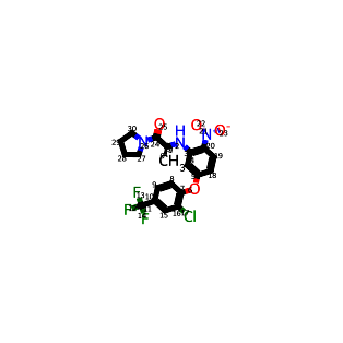 C[C@H](Nc1cc(Oc2ccc(C(F)(F)F)cc2Cl)ccc1[N+](=O)[O-])C(=O)N1CCCC1